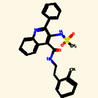 CS(=O)(=O)Nc1c(-c2ccccc2)nc2ccccc2c1C(=O)NCCc1ccccc1C#N